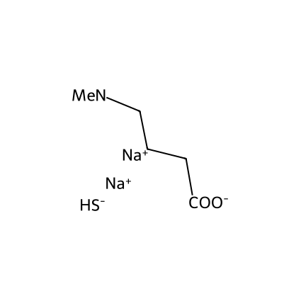 CNCCCC(=O)[O-].[Na+].[Na+].[SH-]